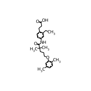 CCc1cc(NC(=O)C(C)(C)CCCOc2cc(C)ccc2C)ccc1CCC(=O)O